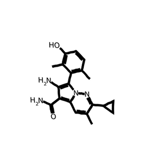 Cc1cc2c(C(N)=O)c(N)c(-c3c(C)ccc(O)c3C)n2nc1C1CC1